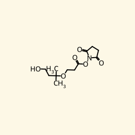 CC(C)(CCO)OCCC(=O)ON1C(=O)CCC1=O